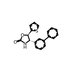 O=C1N[C@@H](c2cccc(-c3ccccc3)c2)[C@H](c2cccs2)O1